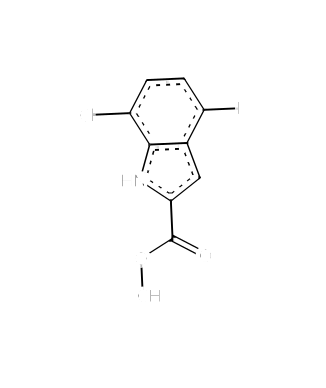 COC(=O)c1cc2c(F)ccc(Cl)c2[nH]1